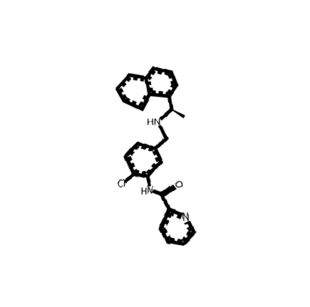 C[C@@H](NCc1ccc(Cl)c(NC(=O)c2ccccn2)c1)c1cccc2ccccc12